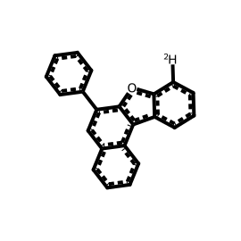 [2H]c1cccc2c1oc1c(-c3ccccc3)cc3ccccc3c12